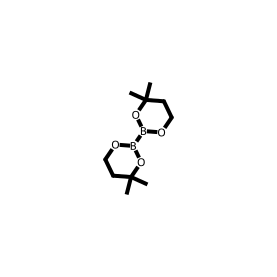 CC1(C)CCOB(B2OCCC(C)(C)O2)O1